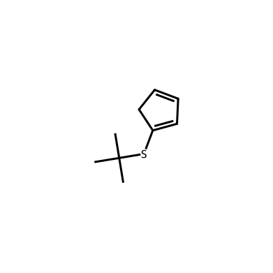 CC(C)(C)SC1=CC=CC1